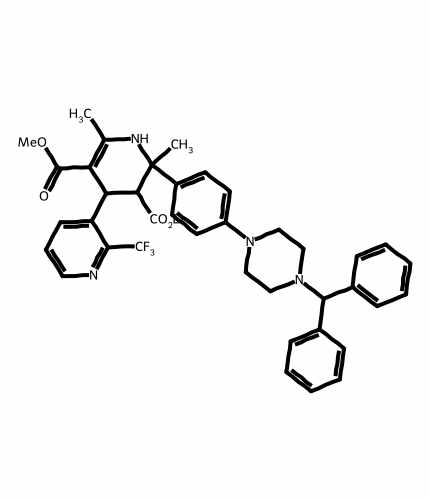 CCOC(=O)C1C(c2cccnc2C(F)(F)F)C(C(=O)OC)=C(C)NC1(C)c1ccc(N2CCN(C(c3ccccc3)c3ccccc3)CC2)cc1